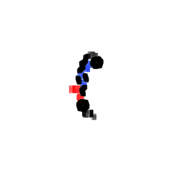 Cc1ccc(OC[C@H](O)CN2CCN(Cc3cc(CC(C)C)n(-c4ccccc4)n3)CC2)cc1